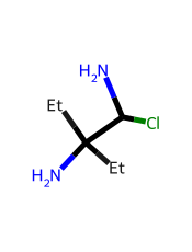 CCC(N)(CC)C(N)Cl